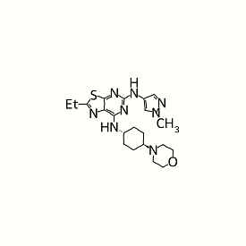 CCc1nc2c(N[C@H]3CC[C@H](N4CCOCC4)CC3)nc(Nc3cnn(C)c3)nc2s1